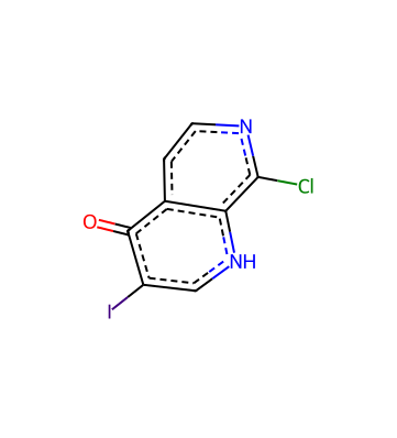 O=c1c(I)c[nH]c2c(Cl)nccc12